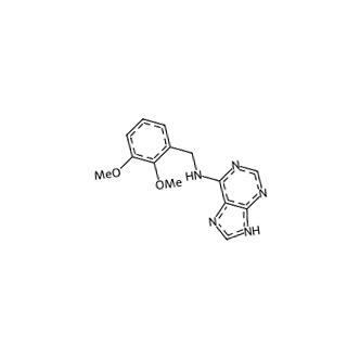 COc1cccc(CNc2ncnc3[nH]cnc23)c1OC